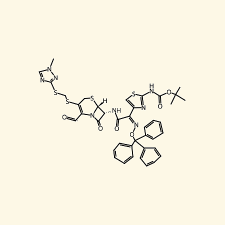 Cn1cnc(SCSC2=C([C]=O)N3C(=O)[C@@H](NC(=O)/C(=N\OC(c4ccccc4)(c4ccccc4)c4ccccc4)c4csc(NC(=O)OC(C)(C)C)n4)[C@H]3SC2)n1